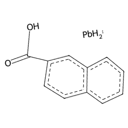 O=C(O)c1ccc2ccccc2c1.[PbH2]